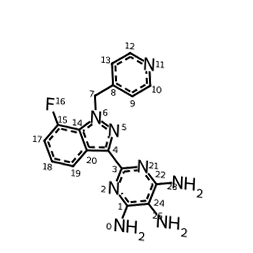 Nc1nc(-c2nn(Cc3ccncc3)c3c(F)cccc23)nc(N)c1N